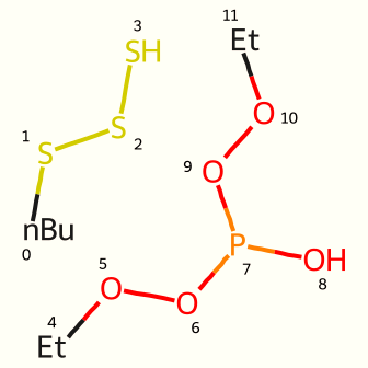 CCCCSSS.CCOOP(O)OOCC